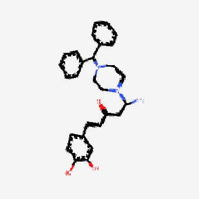 NC(CC(=O)C=Cc1ccc(O)c(O)c1)N1CCN(C(c2ccccc2)c2ccccc2)CC1